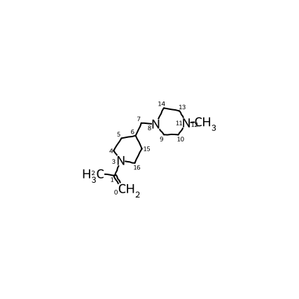 C=C(C)N1CCC(CN2CCN(C)CC2)CC1